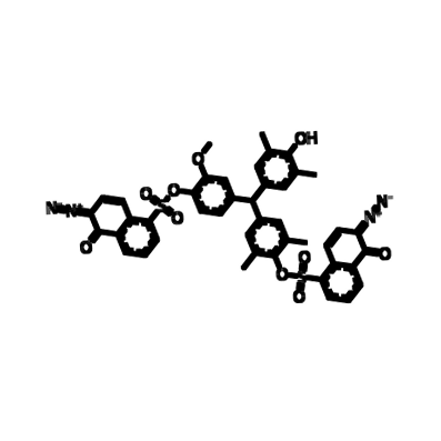 COc1cc(C(c2cc(C)c(O)c(C)c2)c2cc(C)c(OS(=O)(=O)c3cccc4c3C=CC(=[N+]=[N-])C4=O)c(C)c2)ccc1OS(=O)(=O)c1cccc2c1C=CC(=[N+]=[N-])C2=O